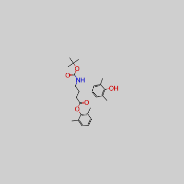 Cc1cccc(C)c1O.Cc1cccc(C)c1OC(=O)CCCNC(=O)OC(C)(C)C